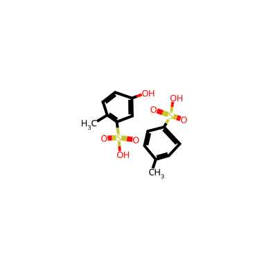 Cc1ccc(O)cc1S(=O)(=O)O.Cc1ccc(S(=O)(=O)O)cc1